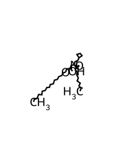 CCCCCCCCCCCCCCCCOCC(O)CN(CCC1CCC1)C(=O)CCCCCCCCC